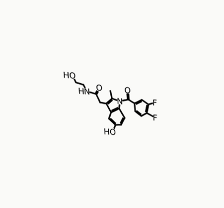 Cc1c(CC(=O)NCCO)c2cc(O)ccc2n1C(=O)c1ccc(F)c(F)c1